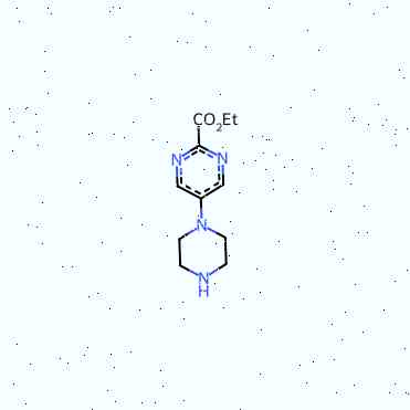 CCOC(=O)c1ncc(N2CCNCC2)cn1